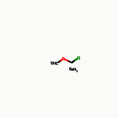 O=COCCl.[GaH3]